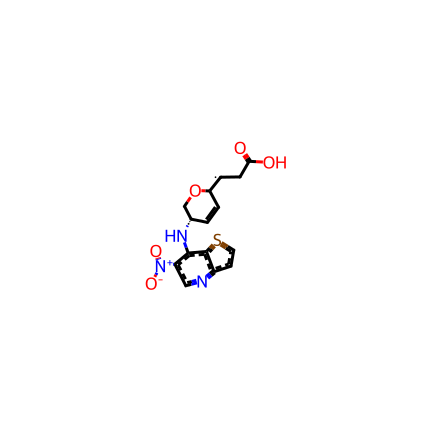 O=C(O)C[CH]C1C=C[C@H](Nc2c([N+](=O)[O-])cnc3ccsc23)CO1